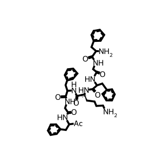 CC(=O)C(Cc1ccccc1)NC(=O)CNC(=O)C(Cc1ccccc1)NC(=O)[C@H](CCCCN)NC(=O)C(Cc1ccccc1)NC(=O)CNC(=O)C(N)Cc1ccccc1